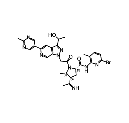 CC(=N)[C@H]1C[C@@H](C(=O)Nc2nc(Br)ccc2C)N(C(=O)Cn2nc(C(C)O)c3cc(-c4cnc(C)nc4)ncc32)[C@@H]1C